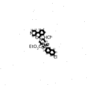 CCOC(=O)C1CN(C(=O)c2ccccc2-c2ccncc2)CCN1S(=O)(=O)c1ccc2cc(Cl)ccc2c1.Cl